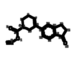 CC(C)(C)OC(=O)N1CCC=C(c2ccc3c(c2)CCC3=O)C1